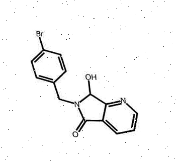 O=C1c2cccnc2C(O)N1Cc1ccc(Br)cc1